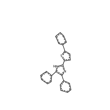 c1ccc(-c2ccc(-c3nc(-c4ccccc4)c(-c4ccccc4)[nH]3)s2)cc1